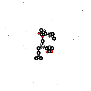 c1ccc(-c2cccc3nc(-c4ccc5c(c4)Oc4ccccc4C54c5ccccc5-c5cc(-c6ccc(-c7nc(-c8cccc(-c9ccc(-n%10c%11ccccc%11c%11ccccc%11%10)cc9)c8)nc(-c8ccc9c(c8)Oc8ccccc8C98c9ccccc9-c9ccccc98)n7)cc6)ccc54)cnc23)cc1